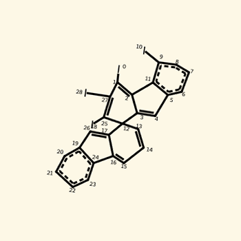 IC1=C2C(=Cc3cccc(I)c32)C2(C=CC=C3C2=Cc2ccccc23)C(I)=C1I